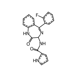 O=C(NC1N=C(c2ccccc2F)c2ccccc2NC1=O)c1ccc[nH]1